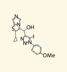 COc1ccc(-n2nnc(C(O)c3c(C4CC4)sc4cncn34)c2I)cc1